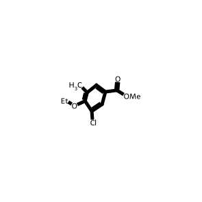 CCOc1c(C)cc(C(=O)OC)cc1Cl